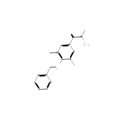 Cc1cc(C(=O)C(C)Br)cc(C)c1OCc1ccccc1